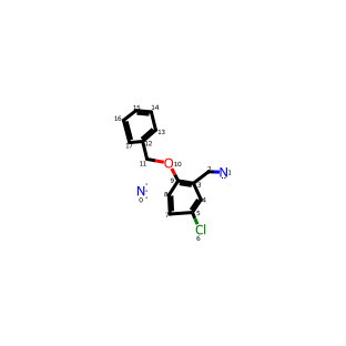 [N].[N]Cc1cc(Cl)ccc1OCc1ccccc1